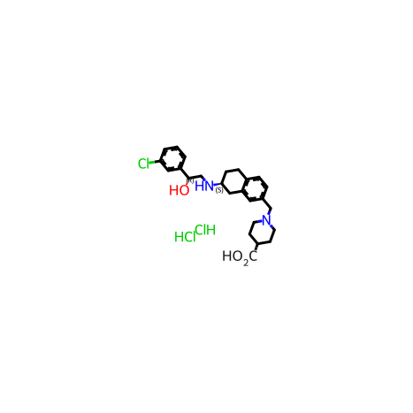 Cl.Cl.O=C(O)C1CCN(Cc2ccc3c(c2)C[C@@H](NC[C@H](O)c2cccc(Cl)c2)CC3)CC1